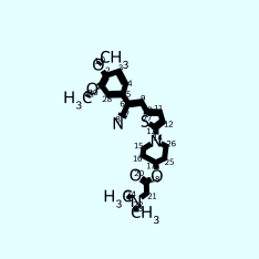 COc1ccc(/C(C#N)=C/c2ccc(N3CCC(OC(=O)CN(C)C)CC3)s2)cc1OC